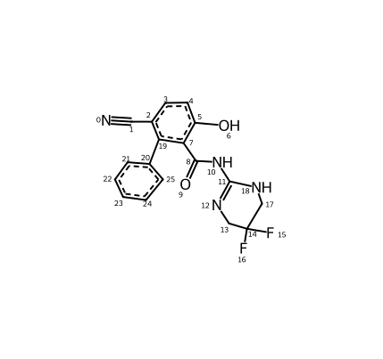 N#Cc1ccc(O)c(C(=O)NC2=NCC(F)(F)CN2)c1-c1ccccc1